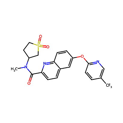 CN(C(=O)c1ccc2cc(Oc3ccc(C(F)(F)F)cn3)ccc2n1)C1CCS(=O)(=O)C1